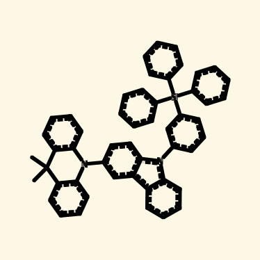 CC1(C)c2ccccc2N(c2ccc3c(c2)c2ccccc2n3-c2cccc([Si](c3ccccc3)(c3ccccc3)c3ccccc3)c2)c2ccccc21